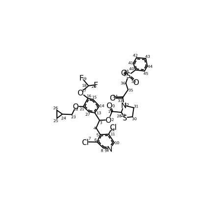 O=C(OC(Cc1c(Cl)cncc1Cl)c1ccc(OC(F)F)c(OCC2CC2)c1)C1SCCN1C(=O)CCS(=O)(=O)c1ccccc1